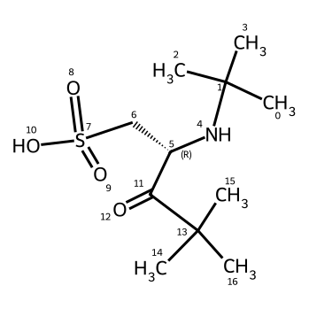 CC(C)(C)N[C@@H](CS(=O)(=O)O)C(=O)C(C)(C)C